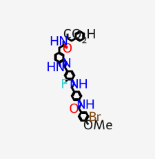 COc1ccc(C(=O)Nc2ccc(CNc3ccc(-c4nc5cc(CC(=O)NC(Cc6ccccc6)C(=O)O)ccc5[nH]4)cc3F)cc2)cc1Br